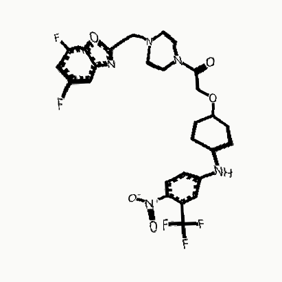 O=C(COC1CCC(Nc2ccc([N+](=O)[O-])c(C(F)(F)F)c2)CC1)N1CCN(Cc2nc3cc(F)cc(F)c3o2)CC1